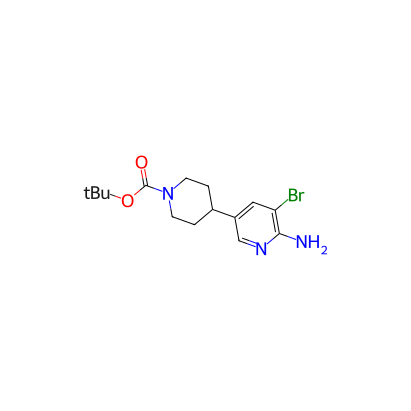 CC(C)(C)OC(=O)N1CCC(c2cnc(N)c(Br)c2)CC1